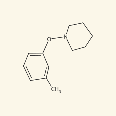 Cc1cccc(ON2CCCCC2)c1